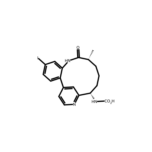 C[C@@H]1CCC[C@H](NC(=O)O)c2cc(ccn2)-c2ccc(I)cc2NC1=O